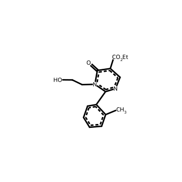 CCOC(=O)c1cnc(-c2ccccc2C)n(CCO)c1=O